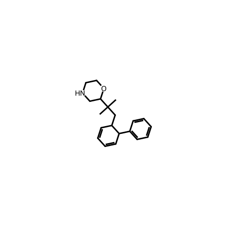 CC(C)(CC1C=CC=CC1c1ccccc1)C1CNCCO1